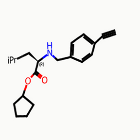 C#Cc1ccc(CN[C@H](CC(C)C)C(=O)OC2CCCC2)cc1